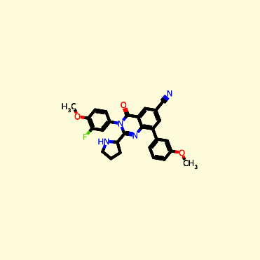 COc1cccc(-c2cc(C#N)cc3c(=O)n(-c4ccc(OC)c(F)c4)c(C4CCCN4)nc23)c1